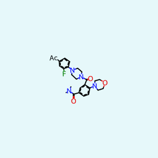 CC(=O)c1ccc(N2CCN(C(=O)c3cc(C(=O)N(C)C)ccc3N3CCOCC3)CC2)c(F)c1